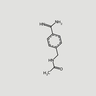 CC(=O)NCc1ccc(C(=N)N)cc1